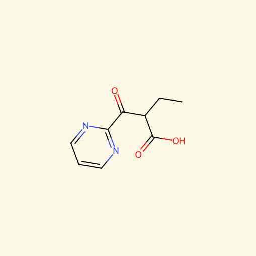 CCC(C(=O)O)C(=O)c1ncccn1